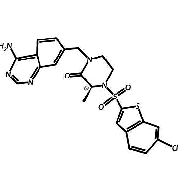 C[C@H]1C(=O)N(Cc2ccc3c(N)ncnc3c2)CCN1S(=O)(=O)c1cc2ccc(Cl)cc2s1